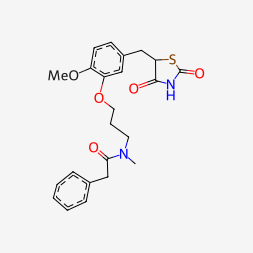 COc1ccc(CC2SC(=O)NC2=O)cc1OCCCN(C)C(=O)Cc1ccccc1